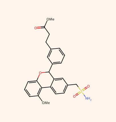 COC(=O)CCc1cccc(C2Oc3cccc(OC)c3-c3ccc(CS(N)(=O)=O)cc32)c1